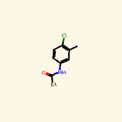 CCC(=O)Nc1ccc(Cl)c(C)c1